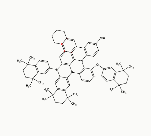 CC(C)(C)c1ccc(N2c3cc(C4CCCCC4)cc4c3B(c3cc5c(cc3N4c3ccc4c(c3)C(C)(C)CCC4(C)C)C(C)(C)CCC5(C)C)c3ccc4c(oc5cc6c(cc54)C(C)(C)CCC6(C)C)c32)c(-c2ccccc2)c1